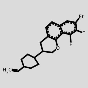 C=CC1CCC(C2COc3c(ccc4cc(CC)c(F)c(F)c34)C2)CC1